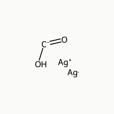 O=[C-]O.[Ag+].[Ag]